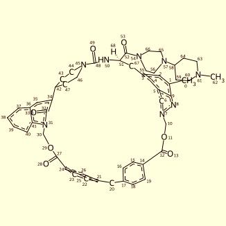 Cc1cc2cc3cn(nc13)COC(=O)c1ccc(cc1)Cc1ccc(cc1)C(=O)OCn1c(=O)c(cc3ccccc31)C1CCN(CC1)C(=O)N[C@@H](C(=O)N1CCN(C3CCN(C)CC3)CC1)C2